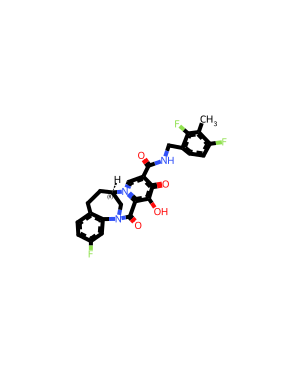 Cc1c(F)ccc(CNC(=O)c2cn3c(c(O)c2=O)C(=O)N2C[C@H]3CCc3ccc(F)cc32)c1F